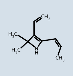 C=CC1=C(/C=C\C)NC1(C)C